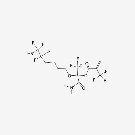 C=C(C(=O)OC(OCCCCC(F)(F)C(F)(F)S)(C(=O)N(C)C)C(F)(F)F)C(F)(F)F